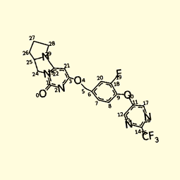 O=c1nc(OCc2ccc(Oc3cnc(C(F)(F)F)nc3)c(F)c2)cc2n1CC1CCCN21